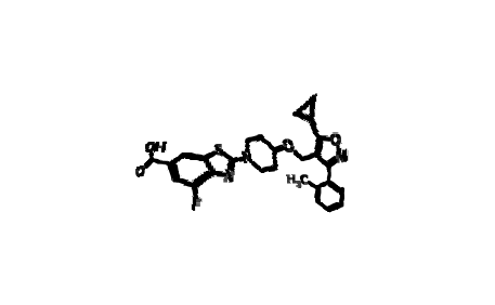 Cc1ccccc1-c1noc(C2CC2)c1COC1CCN(c2nc3c(F)cc(C(=O)O)cc3s2)CC1